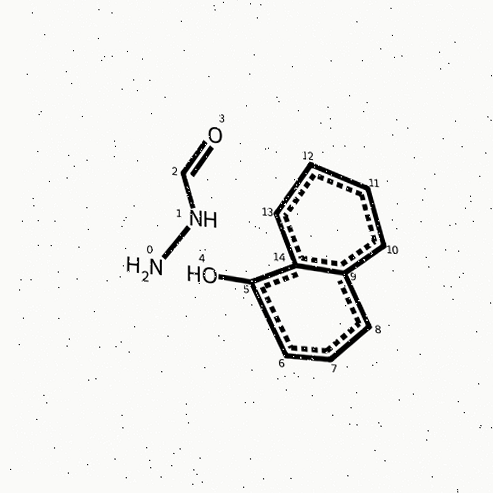 NNC=O.Oc1cccc2ccccc12